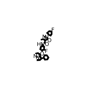 Cc1c(C(=O)Nc2ccc(Oc3ccnn4ccc(-c5ccccc5)c34)c(F)c2)c(=O)n(-c2ccc(F)cc2)n1C